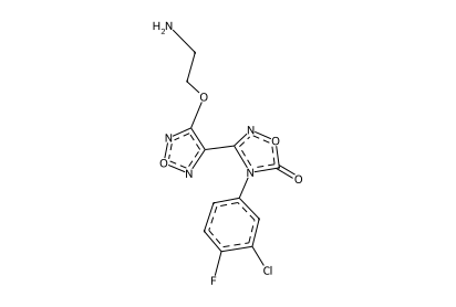 NCCOc1nonc1-c1noc(=O)n1-c1ccc(F)c(Cl)c1